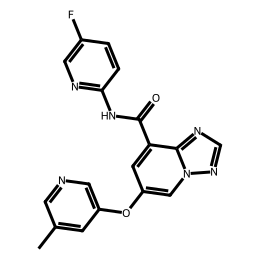 Cc1cncc(Oc2cc(C(=O)Nc3ccc(F)cn3)c3ncnn3c2)c1